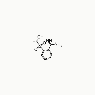 N=C(N)c1ccccc1S(=O)(=O)NO